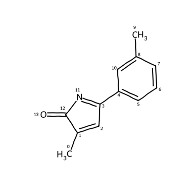 CC1=CC(c2cccc(C)c2)=NC1=O